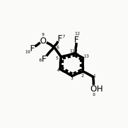 OCc1ccc(C(F)(F)OF)c(F)c1